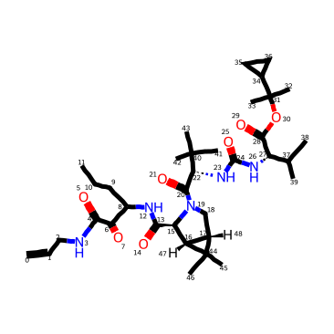 C=CCNC(=O)C(=O)C(CCC)NC(=O)[C@@H]1[C@@H]2[C@H](CN1C(=O)[C@@H](NC(=O)N[C@H](C(=O)OC(C)(C)C1CC1)C(C)C)C(C)(C)C)C2(C)C